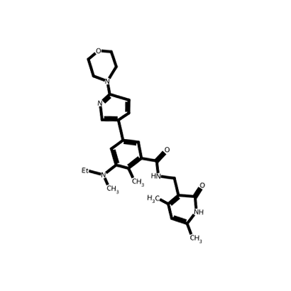 CCN(C)c1cc(-c2ccc(N3CCOCC3)nc2)cc(C(=O)NCc2c(C)cc(C)[nH]c2=O)c1C